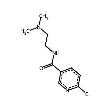 CN(C)CCNC(=O)c1ccc(Cl)nc1